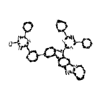 Clc1nc(-c2ccccc2)nc(-c2cccc(-c3ccc4c(c3)c3cc5nc6ccccn6c5cc3n4-c3nc(-c4ccccc4)nc(-c4ccccc4)n3)c2)n1